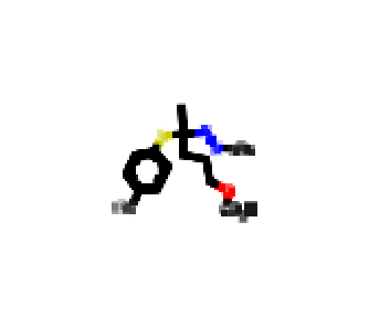 CCCCN=NC(C)(CCCOC(=O)O)Sc1ccc(C(C)(C)C)cc1